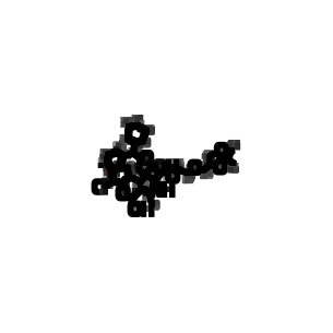 CC1=C(C(=O)O)C(c2cccc(Cl)c2)C(CCC(c2ccccc2)c2ccccc2)(C(=O)O)C(COCCOCC2COC(C)(C)O2)N1